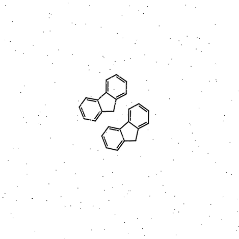 c1ccc2c(c1)Cc1ccccc1-2.c1ccc2c(c1)Cc1ccccc1-2